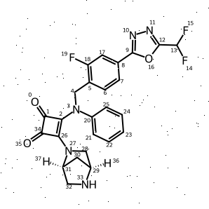 O=c1c(N(Cc2ccc(-c3nnc(C(F)F)o3)cc2F)c2ccccc2)c(N2C[C@@H]3C[C@H]2CN3)c1=O